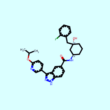 CC(C)Oc1ccc(-c2n[nH]c3ccc(C(=O)N[C@@H]4CCC[C@](O)(Cc5ccccc5F)C4)cc23)cn1